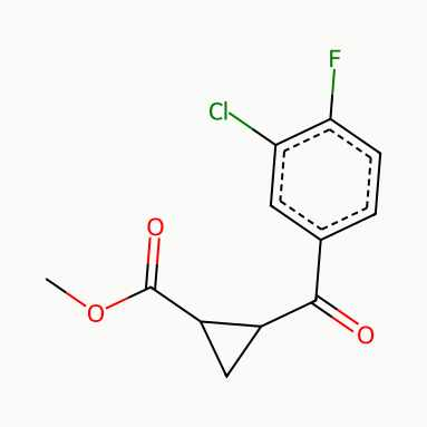 COC(=O)C1CC1C(=O)c1ccc(F)c(Cl)c1